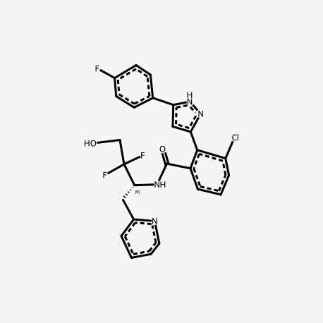 O=C(N[C@H](Cc1ccccn1)C(F)(F)CO)c1cccc(Cl)c1-c1cc(-c2ccc(F)cc2)[nH]n1